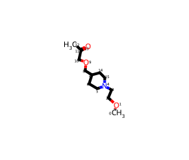 COCCN1CCC(COCC(C)=O)CC1